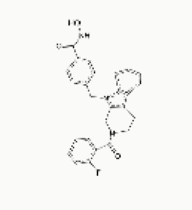 O=C(NO)c1ccc(Cn2c3c(c4ccccc42)CCN(C(=O)c2ccccc2F)C3)cc1